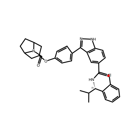 CC(C)[C@H](NC(=O)c1ccc2[nH]nc(-c3ccc(OC4CC5CCC(C4)N5C=O)cc3)c2c1)c1ccccc1Cl